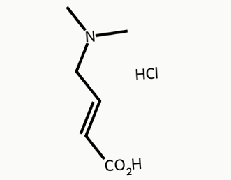 CN(C)C/C=C/C(=O)O.Cl